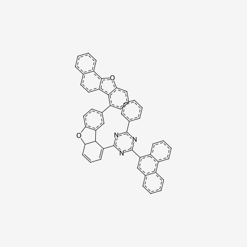 C1=CC2Oc3ccc(-c4cccc5oc6c7ccccc7ccc6c45)cc3C2C(c2nc(-c3ccccc3)nc(-c3cc4ccccc4c4ccccc34)n2)=C1